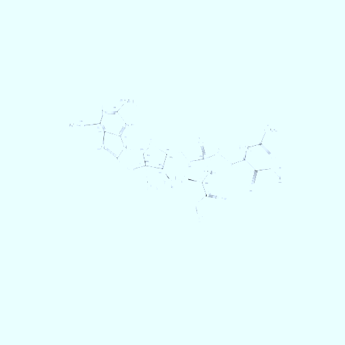 COC(=O)NC(CS[P@@](=O)(N[C@H](C)C(=O)OC(C)C)OC[C@H]1O[C@@H](n2cnc3c(OC)nc(N)nc32)[C@](C)(O)[C@@H]1O)C(=O)OC(C)C